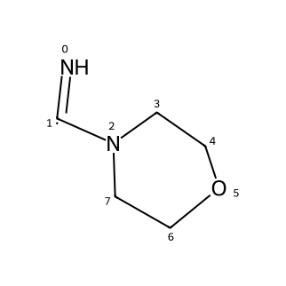 N=[C]N1CCOCC1